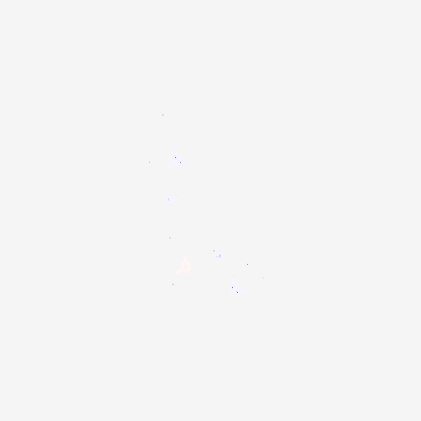 C=COc1ccc(/C=C/C2=Nc3ccccc3C2(C)C)cc1/C=C/C1=Nc2ccccc2C1(C)C